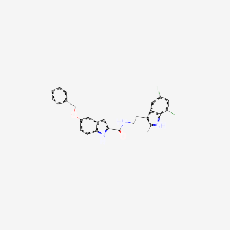 Cc1[nH]c2c(F)cc(F)cc2c1CCNC(=O)c1cc2cc(OCc3ccccc3)ccc2[nH]1